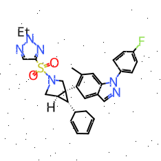 CCn1ncc(S(=O)(=O)N2C[C@@H]3[C@@H](C4C=CC=CC4)[C@]3(c3cc4cnn(-c5ccc(F)cc5)c4cc3C)C2)n1